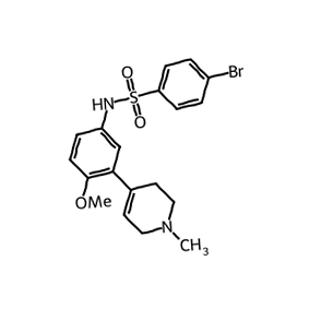 COc1ccc(NS(=O)(=O)c2ccc(Br)cc2)cc1C1=CCN(C)CC1